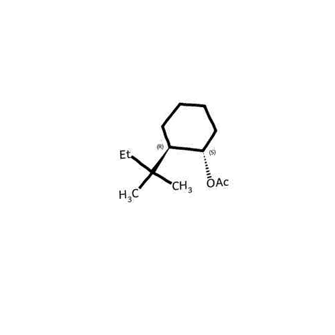 CCC(C)(C)[C@H]1CCCC[C@@H]1OC(C)=O